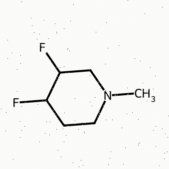 CN1CCC(F)C(F)C1